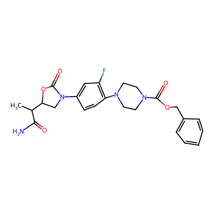 CC(C(N)=O)C1CN(c2ccc(N3CCN(C(=O)OCc4ccccc4)CC3)c(F)c2)C(=O)O1